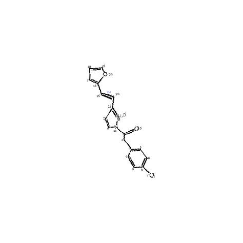 O=C(Cc1ccc(Cl)cc1)n1ccc(/C=C/c2ccco2)n1